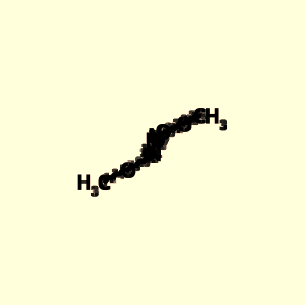 CCCCCCOCCCCc1ccc(-c2ccc(OCCCCOCCCC)nn2)nc1